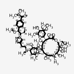 CC[C@H]1OC(=O)[C@H](C)[C@@H](C2C[C@@](C)(OC)[C@@H](O)[C@H](C)O2)[C@H](C)[C@@H](O[C@@H]2O[C@H](C)C[C@H](N(C)CCc3cn([C@H](CF)[C@H](OC)c4ccc(C(=O)N(C)C)cc4)nn3)[C@H]2O)[C@](C)(O)C[C@@H](C)CN(C)[C@H](C)[C@@H](O)[C@]1(C)O